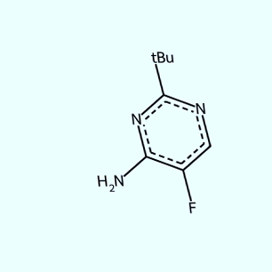 CC(C)(C)c1ncc(F)c(N)n1